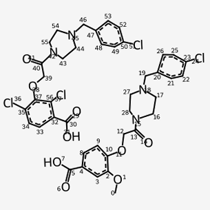 COc1cc(C(=O)O)ccc1OCC(=O)N1CCN(Cc2ccc(Cl)cc2)CC1.O=C(O)c1ccc(Cl)c(OCC(=O)N2CCN(Cc3ccc(Cl)cc3)CC2)c1Cl